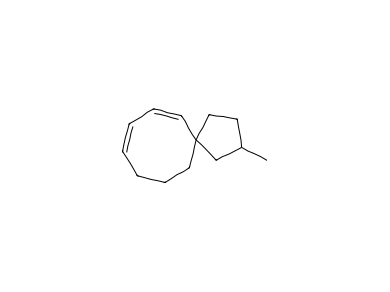 CC1CCC2(/C=C\C=C/CCC2)C1